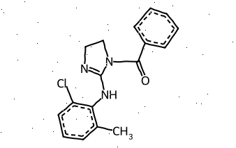 Cc1cccc(Cl)c1NC1=NCCN1C(=O)c1ccccc1